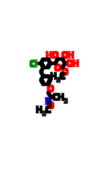 CO/N=C(\C)COc1ccc(Cc2cc(C3O[C@H](OC)[C@@H](O)[C@H](O)C3O)ccc2Cl)cc1